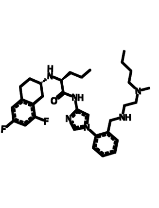 CCCCN(C)CCNCc1ccccc1-n1cnc(NC(=O)[C@H](CCC)N[C@H]2CCc3cc(F)cc(F)c3C2)c1